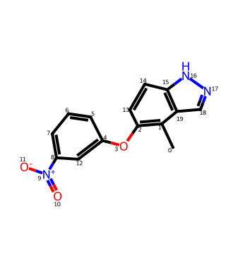 Cc1c(Oc2cccc([N+](=O)[O-])c2)ccc2[nH]ncc12